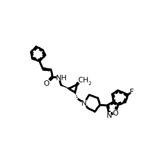 C=C1[C@H](CNC(=O)/C=C/c2ccccc2)[C@H]1CN1CCC(c2noc3cc(F)ccc23)CC1